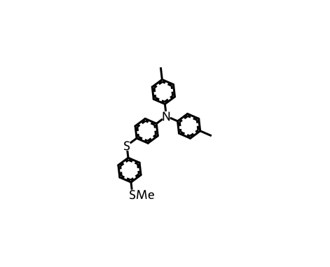 CSc1ccc(Sc2ccc(N(c3ccc(C)cc3)c3ccc(C)cc3)cc2)cc1